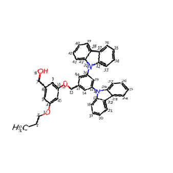 CCCOc1cc(CO)cc(OCc2cc(-n3c4ccccc4c4ccccc43)cc(-n3c4ccccc4c4ccccc43)c2)c1